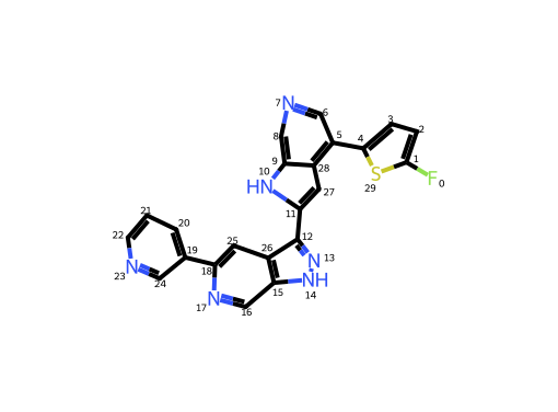 Fc1ccc(-c2cncc3[nH]c(-c4n[nH]c5cnc(-c6cccnc6)cc45)cc23)s1